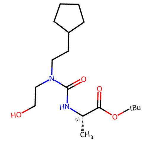 C[C@H](NC(=O)N(CCO)CCC1CCCC1)C(=O)OC(C)(C)C